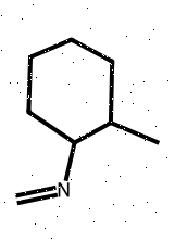 C=NC1CCCCC1C